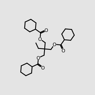 CCC(COC(=O)C1CCCCC1)(COC(=O)C1CCCCC1)COC(=O)C1CCCCC1